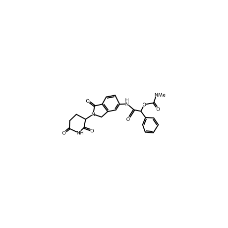 CNC(=O)OC(C(=O)Nc1ccc2c(c1)CN(C1CCC(=O)NC1=O)C2=O)c1ccccc1